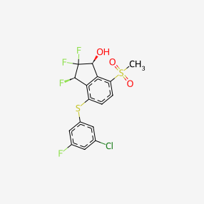 CS(=O)(=O)c1ccc(Sc2cc(F)cc(Cl)c2)c2c1[C@H](O)C(F)(F)[C@@H]2F